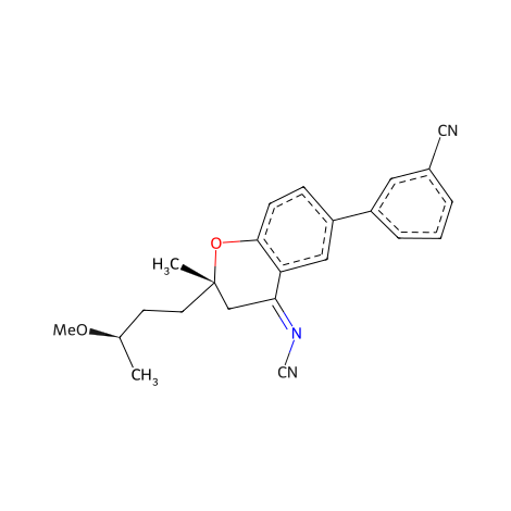 CO[C@H](C)CC[C@@]1(C)C/C(=N\C#N)c2cc(-c3cccc(C#N)c3)ccc2O1